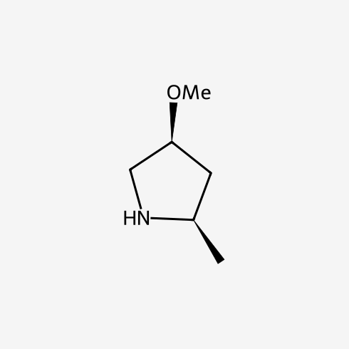 CO[C@@H]1CN[C@H](C)C1